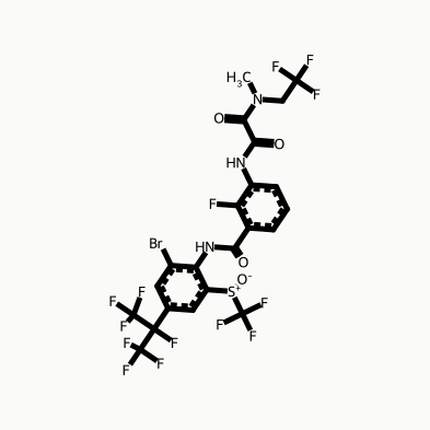 CN(CC(F)(F)F)C(=O)C(=O)Nc1cccc(C(=O)Nc2c(Br)cc(C(F)(C(F)(F)F)C(F)(F)F)cc2[S+]([O-])C(F)(F)F)c1F